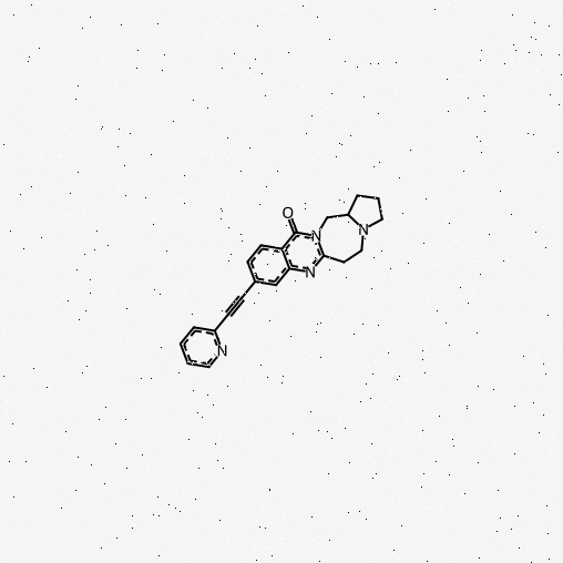 O=c1c2ccc(C#Cc3ccccn3)cc2nc2n1CC1CCCN1CC2